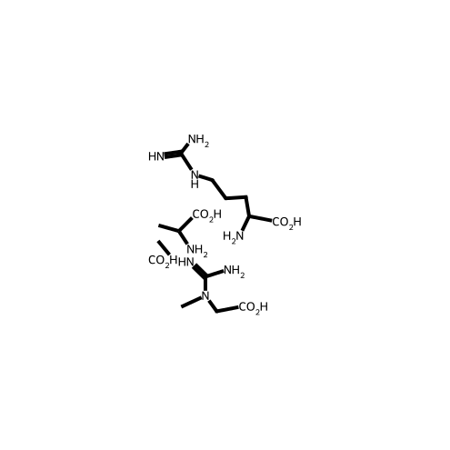 CC(=O)O.CC(N)C(=O)O.CN(CC(=O)O)C(=N)N.N=C(N)NCCCC(N)C(=O)O